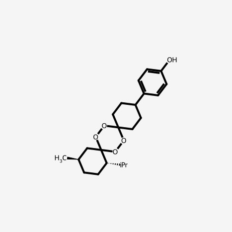 CC(C)[C@@H]1CC[C@@H](C)CC12OOC1(CCC(c3ccc(O)cc3)CC1)OO2